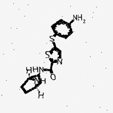 Nc1ccc(Sc2cnc(C(=O)N[C@@H]3C[C@H]4CC[C@@H]3N4)s2)cc1